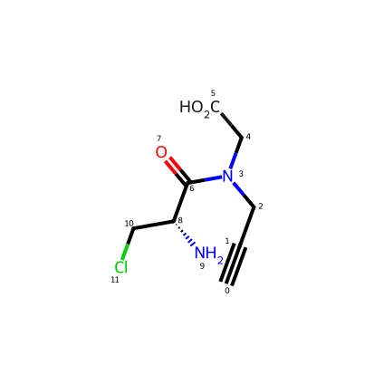 C#CCN(CC(=O)O)C(=O)[C@H](N)CCl